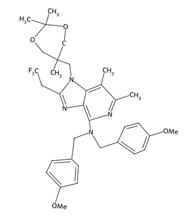 COc1ccc(CN(Cc2ccc(OC)cc2)c2nc(C)c(C)c3c2nc(CC(F)(F)F)n3CC2(C)COC(C)(C)OC2)cc1